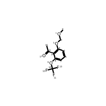 COCOc1cccc(OC(F)(F)F)c1C(C)=O